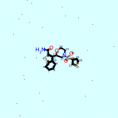 NC(=O)c1sc2ccccc2c1C1CN(S(=O)(=O)c2ccsc2)CCO1